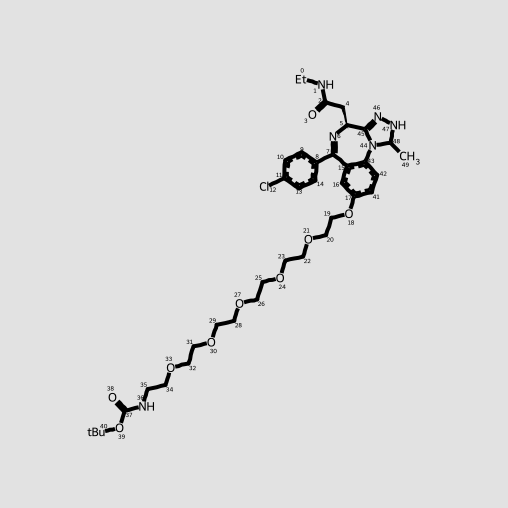 CCNC(=O)C[C@@H]1N=C(c2ccc(Cl)cc2)c2cc(OCCOCCOCCOCCOCCOCCNC(=O)OC(C)(C)C)ccc2N2C1=NNC2C